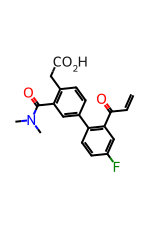 C=CC(=O)c1cc(F)ccc1-c1ccc(CC(=O)O)c(C(=O)N(C)C)c1